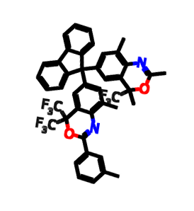 CC1=Nc2c(C)cc(C3(c4cc(C)c5c(c4)C(C(F)(F)F)(C(F)(F)F)OC(c4cccc(C)c4)=N5)c4ccccc4-c4ccccc43)cc2C(C)(C(F)(F)F)O1